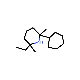 CCC1(C)CCCC(C)(C2CCCCC2)N1